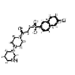 O=C(CCS(=O)(=O)c1ccc2cc(Cl)ccc2c1)N1CCN(N2CCCNC2)CC1